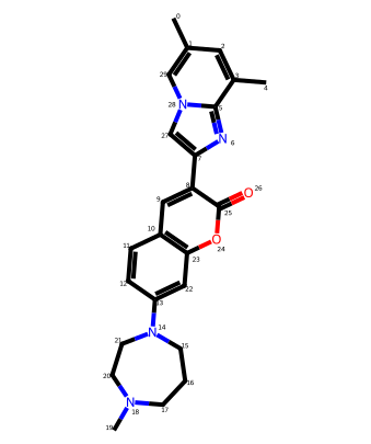 Cc1cc(C)c2nc(-c3cc4ccc(N5CCCN(C)CC5)cc4oc3=O)cn2c1